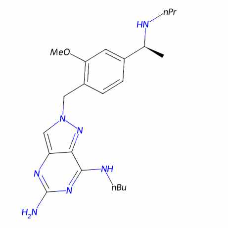 CCCCNc1nc(N)nc2cn(Cc3ccc([C@H](C)NCCC)cc3OC)nc12